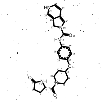 O=C1CC[C@@H](C(=O)N2CCC(Oc3ccc(NC(=O)N4C=C5C=CNC=C5C4)cc3)CC2)N1